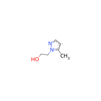 Cc1[c]cnn1CCO